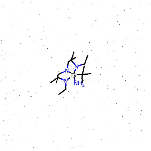 CC[N](CC)[Ta]([NH2])([N](CC)CC)([N](CC)CC)[C](C)(C)C